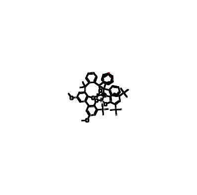 COc1cc(-c2cc(OC)cc3c2OP2OC(c4ccccc4)(c4ccccc4)C(c4ccccc4)(O2)c2ccccc2C3(C)C)c(OP2Oc3cc(C(C)(C)C)cc(C(C)(C)C)c3O2)c(C(C)(C)C)c1